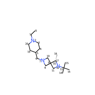 CCN1CCC(CN2CC3(C2)CN(C(C)(C)C)[C@H]3C)CC1